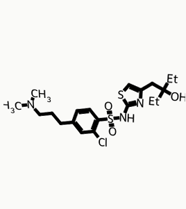 CCC(O)(CC)Cc1csc(NS(=O)(=O)c2ccc(CCCN(C)C)cc2Cl)n1